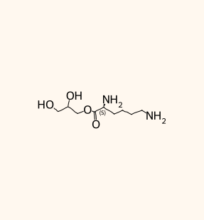 NCCCC[C@H](N)C(=O)OCC(O)CO